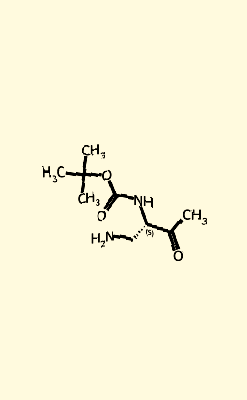 CC(=O)[C@H](CN)NC(=O)OC(C)(C)C